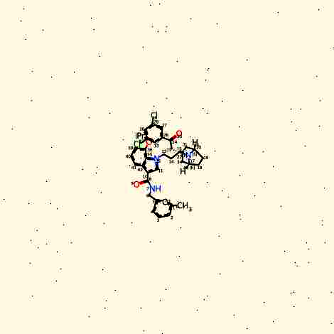 Cc1cccc(CNC(=O)c2cn(CCCN3[C@@H]4CC[C@H]3C[C@@H](CC(=O)c3cc(Cl)cc(Cl)c3)C4)c3c(OC(C)C)cccc23)c1